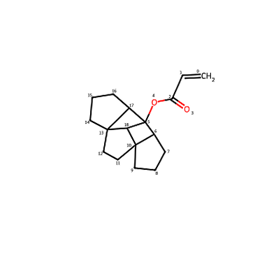 C=CC(=O)OC12C3CCCC34CCC3(CCCC31)C42